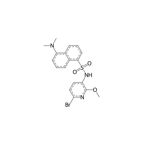 COc1nc(Br)ccc1NS(=O)(=O)c1cccc2c(N(C)C)cccc12